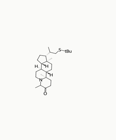 CC(CSC(C)(C)C)[C@H]1CC[C@H]2[C@@H]3CCN4C(C)C(=O)CC[C@]4(C)[C@H]3CC[C@]12C